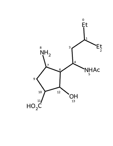 CCC(CC)CC(NC(C)=O)C1C(N)CC(C(=O)O)C1O